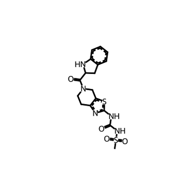 CS(=O)(=O)NC(=O)Nc1nc2c(s1)CN(C(=O)C1Cc3ccccc3N1)CC2